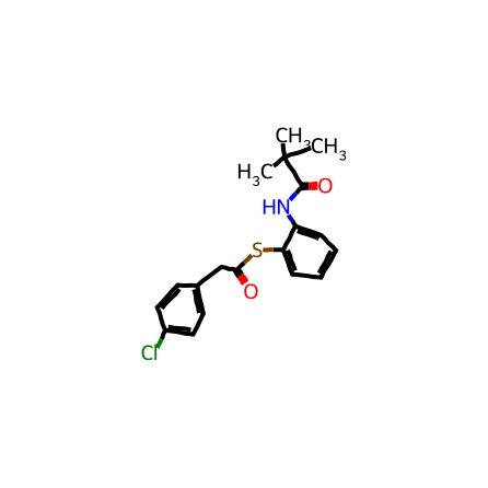 CC(C)(C)C(=O)Nc1ccccc1SC(=O)Cc1ccc(Cl)cc1